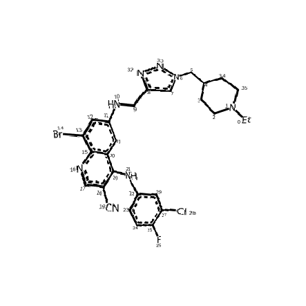 CCN1CCC(Cn2cc(CNc3cc(Br)c4ncc(C#N)c(Nc5ccc(F)c(Cl)c5)c4c3)nn2)CC1